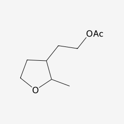 CC(=O)OCCC1CCOC1C